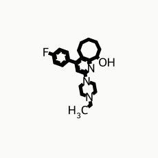 CCN1CCN(c2cc(-c3ccc(F)cc3)c3c(n2)C(O)CCCCC3)CC1